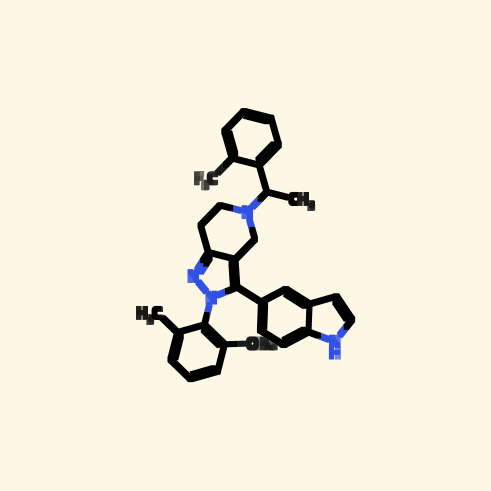 Cc1cccc(OCC(C)C)c1-n1nc2c(c1-c1ccc3[nH]ccc3c1)CN(C(C)c1ccccc1C(F)(F)F)CC2